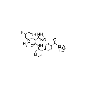 CN1CC(F)CNC1C(C(=O)Nc1cnccc1-c1ccc(C(=O)N2CCN3CCC2CC3)cc1)C(N)N=O